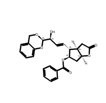 O=C1C[C@@H]2[C@@H](/C=C/[C@H](O)[C@@H]3OCc4ccccc4O3)[C@H](OC(=O)c3ccccc3)C[C@@H]2O1